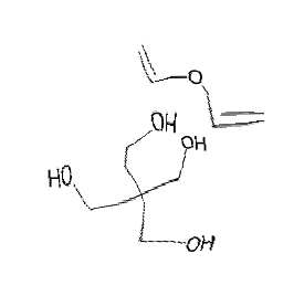 C=COC=C.OCC(CO)(CO)CO